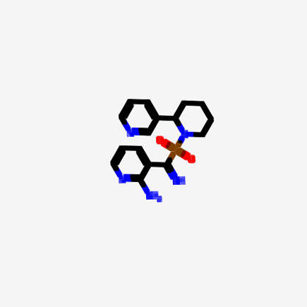 N=C(c1cccnc1N)S(=O)(=O)N1CCCCC1c1cccnc1